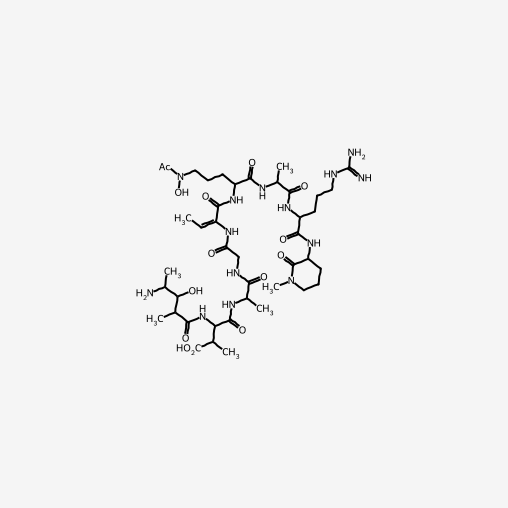 C/C=C(/NC(=O)CNC(=O)C(C)NC(=O)C(NC(=O)C(C)C(O)C(C)N)C(C)C(=O)O)C(=O)NC(CCCN(O)C(C)=O)C(=O)NC(C)C(=O)NC(CCCNC(=N)N)C(=O)NC1CCCN(C)C1=O